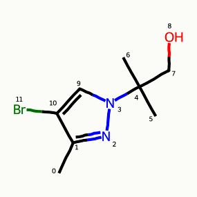 Cc1nn(C(C)(C)CO)cc1Br